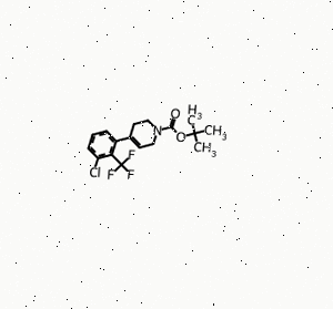 CC(C)(C)OC(=O)N1CC=C(c2cccc(Cl)c2C(F)(F)F)CC1